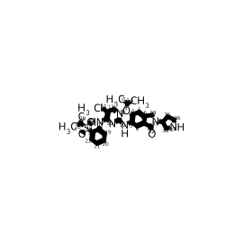 CC(C)Oc1cc2c(cc1Nc1ncc(Cl)c(Nc3ccccc3S(=O)(=O)C(C)C)n1)C(=O)N(C1CCNC1)C2